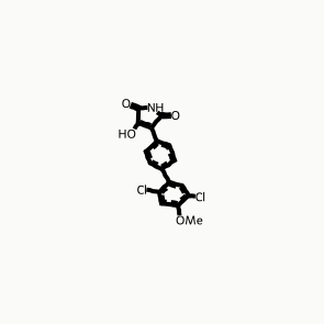 COc1cc(Cl)c(-c2ccc(C3=C(O)C(=O)NC3=O)cc2)cc1Cl